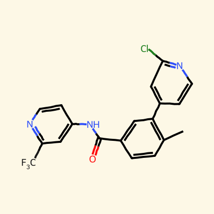 Cc1ccc(C(=O)Nc2ccnc(C(F)(F)F)c2)cc1-c1ccnc(Cl)c1